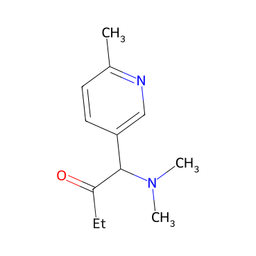 CCC(=O)C(c1ccc(C)nc1)N(C)C